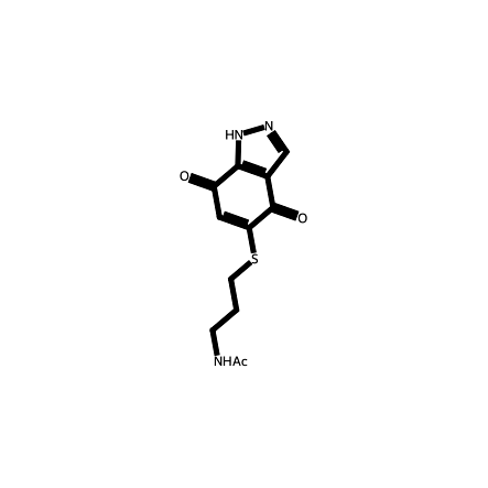 CC(=O)NCCCSC1=CC(=O)c2[nH]ncc2C1=O